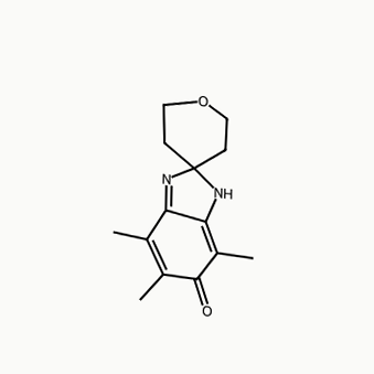 CC1=C(C)C2=NC3(CCOCC3)NC2=C(C)C1=O